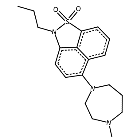 CCCN1c2ccc(N3CCCN(C)CC3)c3cccc(c23)S1(=O)=O